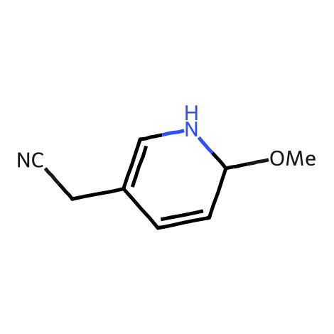 COC1C=CC(CC#N)=CN1